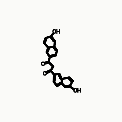 O=C(CC(=O)c1ccc2cc(O)ccc2c1)c1ccc2cc(O)ccc2c1